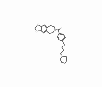 O=C(c1ccc(OCCCN2CCCCC2)cc1)N1CCc2cc3c(cc2CC1)OCO3